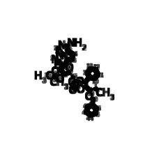 CC[C@H](COP(=O)(OCc1ccccc1)OC[C@H]1O[C@@](C#N)(c2ccc3c(N)ncnn23)[C@H]2OC(C)(C)OC12)OCc1ccccc1